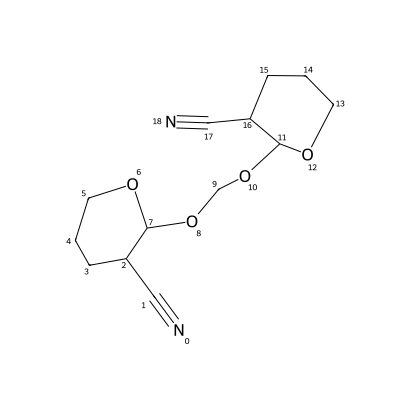 N#CC1CCCOC1OCOC1OCCCC1C#N